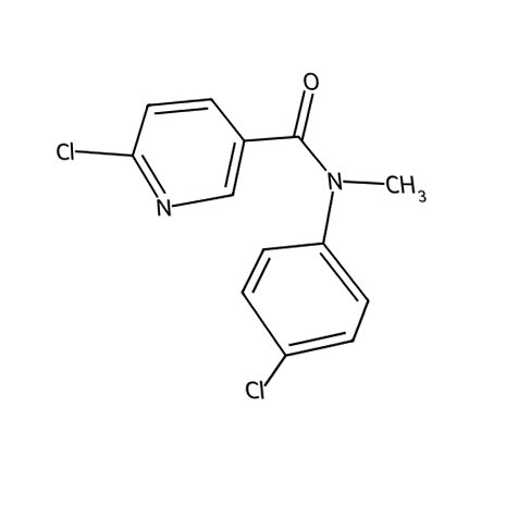 CN(C(=O)c1ccc(Cl)nc1)c1ccc(Cl)cc1